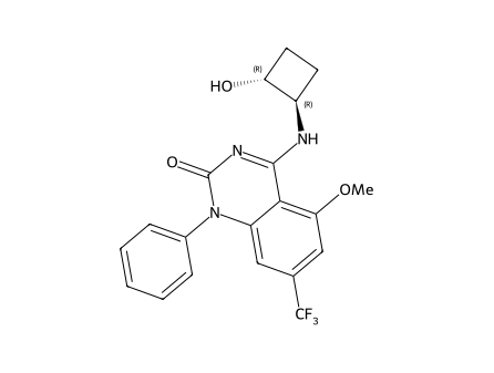 COc1cc(C(F)(F)F)cc2c1c(N[C@@H]1CC[C@H]1O)nc(=O)n2-c1ccccc1